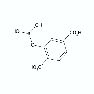 O=C(O)c1ccc(C(=O)O)c(OB(O)O)c1